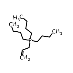 C=CC[P](CCCC)(CCCC)CCCC